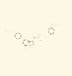 COc1ccc(-c2nc3c(C(=O)N4CCN([C@@H](C)c5ccc(NC(=O)O)cc5)C[C@H]4C)cnn3c(C(F)(F)F)c2C)cc1